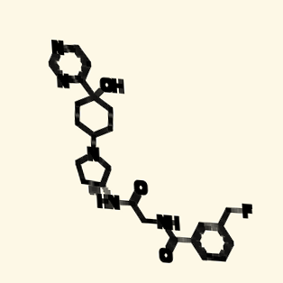 O=C(CNC(=O)c1cccc(CF)c1)N[C@@H]1CCN(C2CCC(O)(c3ccncn3)CC2)C1